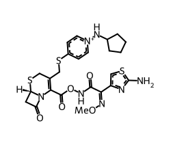 CO/N=C(\C(=O)NOC(=O)C1=C(CSc2cc[n+](NC3CCCC3)cc2)CS[C@H]2CC(=O)N12)c1csc(N)n1